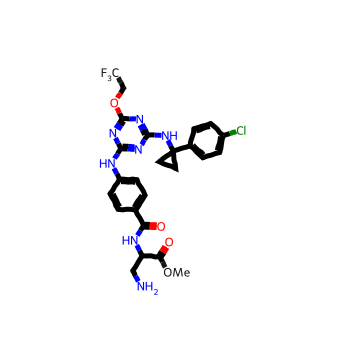 COC(=O)C(CN)NC(=O)c1ccc(Nc2nc(NC3(c4ccc(Cl)cc4)CC3)nc(OCC(F)(F)F)n2)cc1